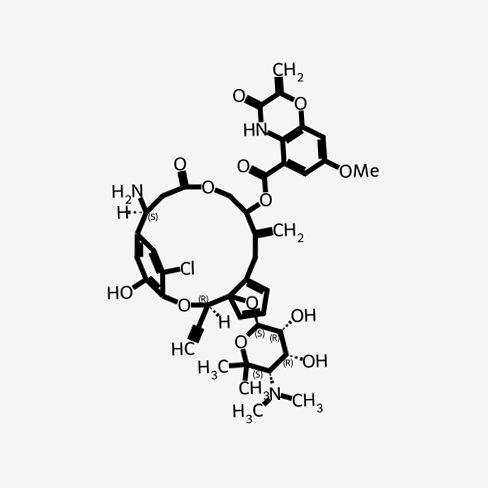 C#C[C@H]1Oc2c(O)cc(cc2Cl)[C@@H](N)CC(=O)OCC(OC(=O)c2cc(OC)cc3c2NC(=O)C(=C)O3)C(=C)CC2=CC=CC21O[C@@H]1OC(C)(C)[C@@H](N(C)C)[C@@H](O)[C@H]1O